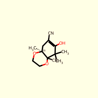 CC1(C)C(O)=C(C#N)C[C@]2(C)OCCOC12C#N